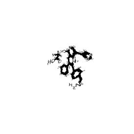 NCc1ccc(-c2nc3c(-c4cncs4)cnc(O)c3cc2-c2ccccc2)cc1.O=C(O)C(F)(F)F